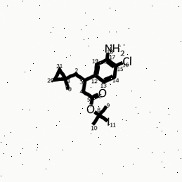 CC1(CC(CC(=O)OC(C)(C)I)c2ccc(Cl)c(N)c2)CC1